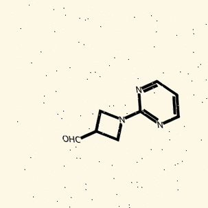 O=CC1CN(c2ncccn2)C1